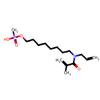 C=CCN(CCCCCCCCOP(C)(=O)O)C(=O)C(=C)C